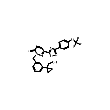 O=c1ccc(-c2nc(-c3ccc(OC(F)(F)F)cc3)no2)nn1Cc1cccc(C2(CO)CC2)c1